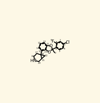 CC1(c2ccc(Cl)cc2F)Oc2cccc(C34CCNCC3C4)c2O1